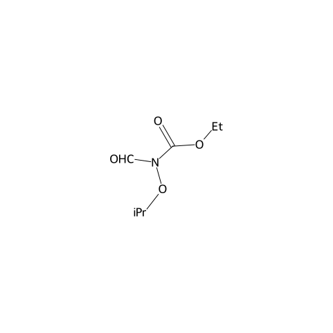 CCOC(=O)N(C=O)OC(C)C